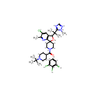 Cc1nc2c(cc1Cl)C(C(C)(C)c1ncnn1C)OC21CCN(C(=O)C2CCN(C(C)(C)C)C[C@H]2c2ccc(F)c(F)c2F)CC1